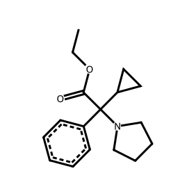 CCOC(=O)C(c1ccccc1)(C1CC1)N1CCCC1